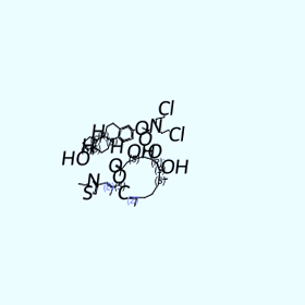 C/C1=C/C[C@@H](/C(C)=C/c2csc(C)n2)OC(=O)C[C@H](O)C(C)C(=O)[C@H](C)[C@@H](O)[C@@H](C)CCC1.C[C@]12CC[C@@H]3c4ccc(OC(=O)N(CCCl)CCCl)cc4CC[C@H]3[C@@H]1CC[C@@H]2O